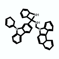 C1=CCCC(n2c3ccccc3c3ccc(C4(NCn5c6c(c7ccccc75)C5C=CC=CC5C=C6)NC5C=CC=CC54)cc32)=C1